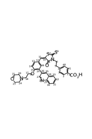 O=C(O)c1ccc(CCN2C(=O)C(=Cc3ccc(OCCN4CCOCC4)c(-c4cnc5ccccc5c4)c3)SC2=S)cc1